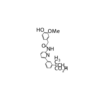 COc1cc(CC(=O)Nc2cccc(-c3cccc(C(C)(C)C(=O)O)c3)n2)ccc1O